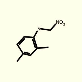 Cc1ccc(SC[N+](=O)[O-])c(C)c1